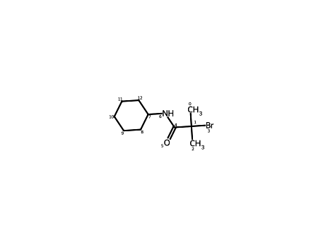 CC(C)(Br)C(=O)NC1CCCCC1